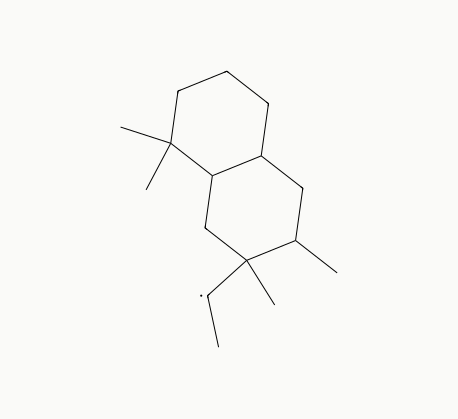 C[CH]C1(C)CC2C(CCCC2(C)C)CC1C